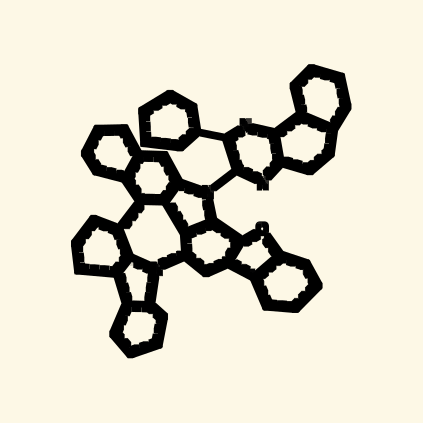 c1ccc(-c2nc3c(ccc4ccccc43)nc2-n2c3cc4ccccc4c4c5cccc6c7ccccc7n(c7cc8c9ccccc9oc8c2c7c43)c65)cc1